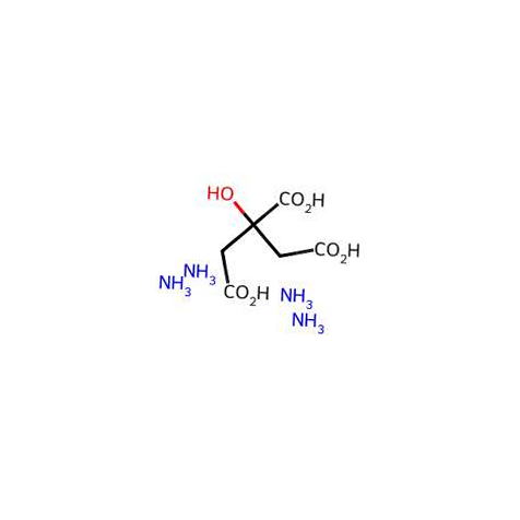 N.N.N.N.O=C(O)CC(O)(CC(=O)O)C(=O)O